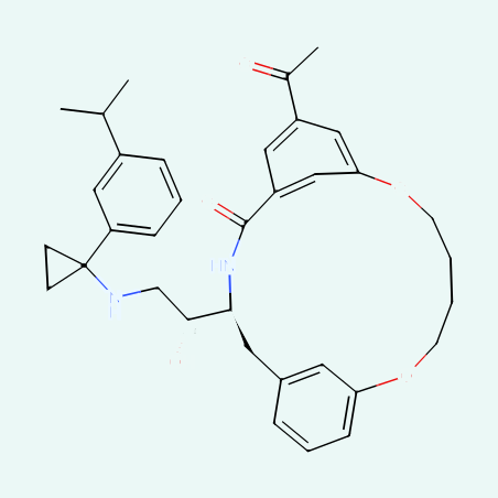 CC(=O)c1cc2cc(c1)C(=O)N[C@H]([C@H](O)CNC1(c3cccc(C(C)C)c3)CC1)Cc1cccc(c1)OCCCCO2